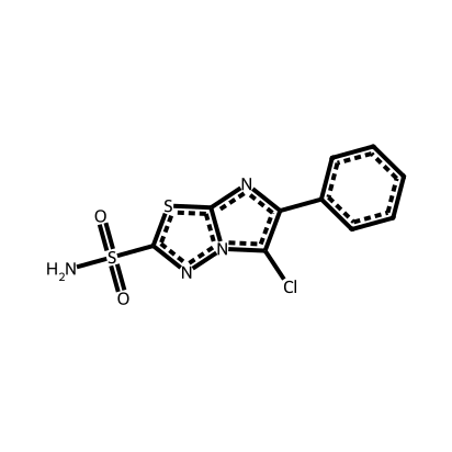 NS(=O)(=O)c1nn2c(Cl)c(-c3ccccc3)nc2s1